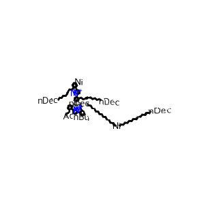 CCCCC1=C(c2ccccc2CCC(C)=O)[N+](=[N-])C(c2ccccc2CCC(C)=O)=C1.CCCCCCCCCCCCCCCC#CCCc1ccccc1C1=CC=C(c2ccccc2CCC#CCCCCCCCCCCCCCCC)[N+]1=[N-].CCCCCCCCCCCCCCCCCCCCCCCC[CH2][Ni][CH2]CCCCCCCCCCCCCCCCCCCCCCCC.[Ni]